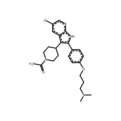 CN(C)CCCOc1ccc(-c2[nH]c3ncc(Cl)cc3c2C2CCN(C(N)=O)CC2)cc1